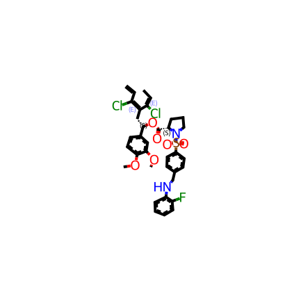 C=C/C(Cl)=C(C[C@H](OC(=O)[C@@H]1CCCN1S(=O)(=O)c1ccc(CNc2ccccc2F)cc1)c1ccc(OC)c(OC)c1)\C(Cl)=C/C